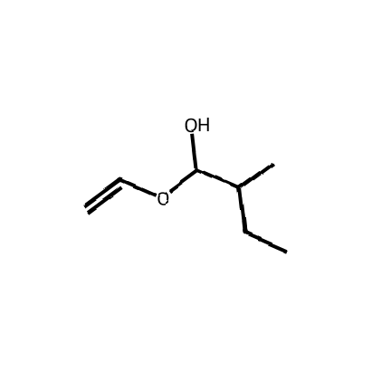 C=COC(O)C(C)CC